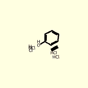 C#C.Cl.Cl.Cl.Cl.Oc1ccccc1